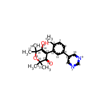 Cc1ccc(-c2cncnc2)cc1C1=C(O)C(C)(C)OC(C)(C)C1=O